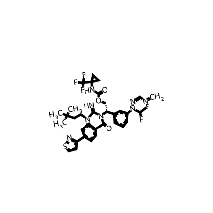 C=N/C=N\N(c1cccc([C@@H](COC(=O)NC2(C(F)(F)F)CC2)N(C(=N)NCCC(C)(C)C)C(=O)c2ccc(-c3ccsn3)cc2)c1)C(F)F